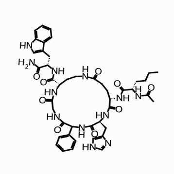 CCCC[C@H](NC(C)=O)C(=O)N[C@H]1CCC(=O)NCC[C@@H](C(=O)N[C@@H](Cc2c[nH]c3ccccc23)C(N)=O)NC(=O)CNC(=O)C(c2ccccc2)NC(=O)[C@H](Cc2c[nH]cn2)NC1=O